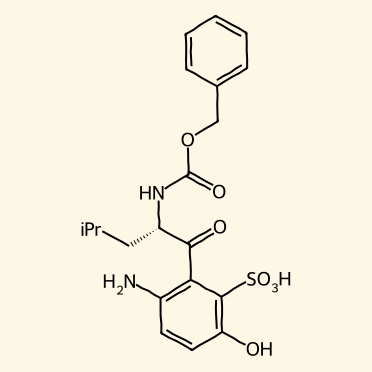 CC(C)C[C@H](NC(=O)OCc1ccccc1)C(=O)c1c(N)ccc(O)c1S(=O)(=O)O